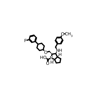 COc1ccc(CN[C@H]2[C@H]3CCC[C@H]3N(C(=O)O)[C@H]2COC2CCC(c3cccc(F)c3)CC2)cc1